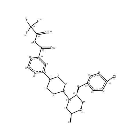 C[C@H]1CN(C2CCN(c3cc(C(=O)OC(=O)C(F)(F)F)ccn3)CC2)[C@@H](Cc2ccc(Cl)cc2)CO1